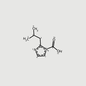 CC(C)Cc1nccn1C(=O)O